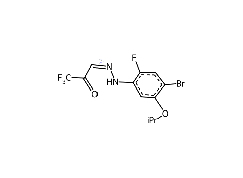 CC(C)Oc1cc(N/N=C\C(=O)C(F)(F)F)c(F)cc1Br